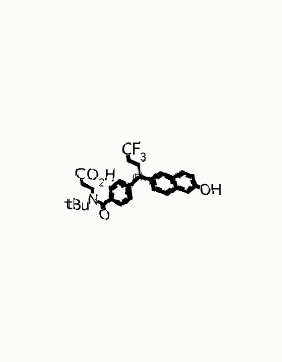 CC(C)(C)N(CCC(=O)O)C(=O)c1ccc([C@@H](CCC(F)(F)F)c2ccc3cc(O)ccc3c2)cc1